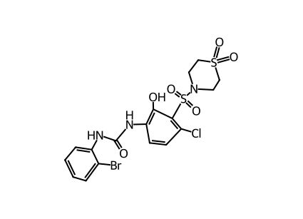 O=C(Nc1ccccc1Br)Nc1ccc(Cl)c(S(=O)(=O)N2CCS(=O)(=O)CC2)c1O